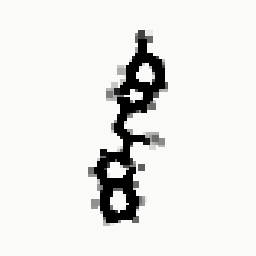 CCc1ccc2nc(CC(C)c3ncc4ccccc4n3)[nH]c2c1